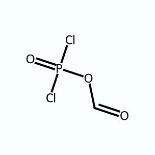 O=COP(=O)(Cl)Cl